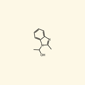 Cc1nc2ccccc2n1C(C)O